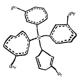 CC(C)C1=C[C]([Si](c2cccc(C(C)C)c2)(c2cccc(C(C)C)c2)c2cccc(C(C)C)c2)C=C1